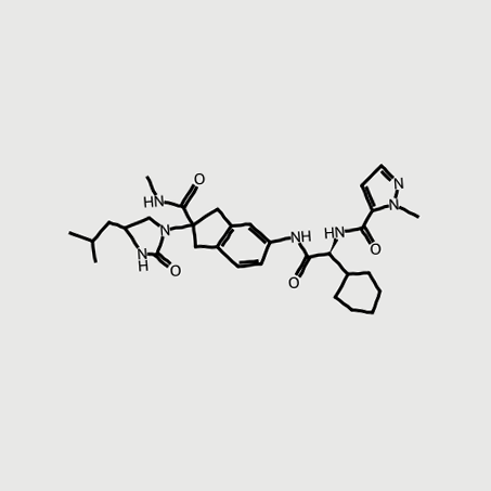 CNC(=O)C1(N2CC(CC(C)C)NC2=O)Cc2ccc(NC(=O)[C@@H](NC(=O)c3ccnn3C)C3CCCCC3)cc2C1